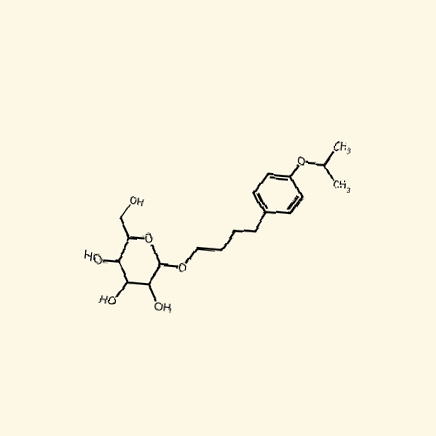 CC(C)Oc1ccc(CCCCOC2OC(CO)C(O)C(O)C2O)cc1